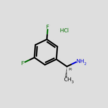 C[C@@H](N)c1cc(F)cc(F)c1.Cl